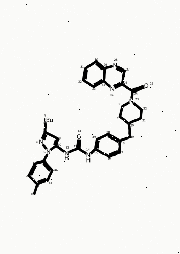 Cc1ccc(-n2nc(C(C)(C)C)cc2NC(=O)Nc2ccc(CC3CCN(C(=O)c4cnc5ccccc5n4)CC3)cc2)cc1